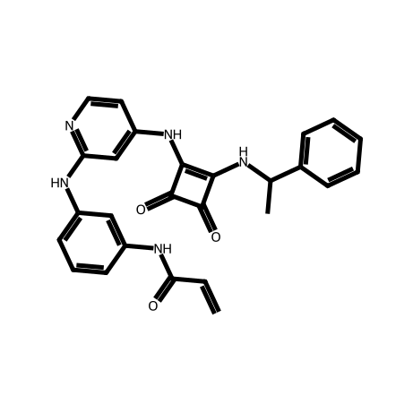 C=CC(=O)Nc1cccc(Nc2cc(Nc3c(NC(C)c4ccccc4)c(=O)c3=O)ccn2)c1